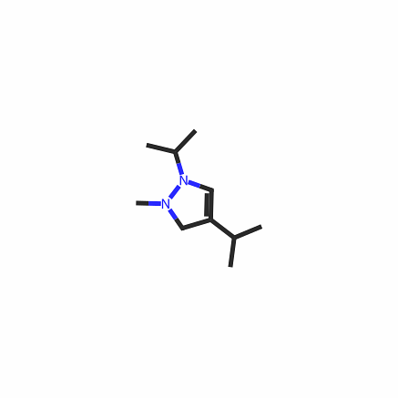 CC(C)C1=CN(C(C)C)N(C)C1